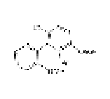 CCc1ccc(OC)c(C(C)C)c1-c1ccccc1OC